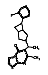 Cc1nc2sccn2c(=O)c1C(C)N1CC2CC(c3ccccc3F)C2C1